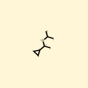 CC(C)OC(C)[C]1CC1